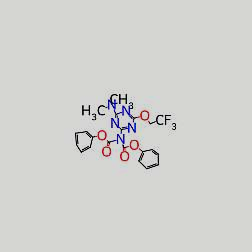 CN(C)c1nc(OCC(F)(F)F)nc(N(C(=O)Oc2ccccc2)C(=O)Oc2ccccc2)n1